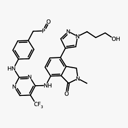 CN1Cc2c(-c3cnn(CCCO)c3)ccc(Nc3nc(Nc4ccc(CP=O)cc4)ncc3C(F)(F)F)c2C1=O